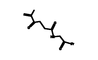 C=C(C)C(=O)CCC(=O)NCC(=O)C(C)C